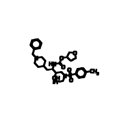 Cc1ccc(S(=O)(=O)N(CC(C)C)C[C@@H](O)[C@H](CC2CCN(Cc3ccccc3)CC2)NC(=O)O[C@H]2CCOC2)cc1